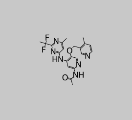 CC(=O)Nc1cc(Nc2cc(C)nc(C(C)(F)F)n2)c(OCc2cnccc2C)cn1